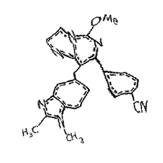 COc1nc(-c2ccc(C#N)cc2)c(-c2ccc3c(c2)nc(C)n3C)c2nccn12